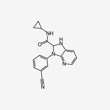 N#Cc1cccc(N2c3ncccc3NC2C(=O)NC2CC2)c1